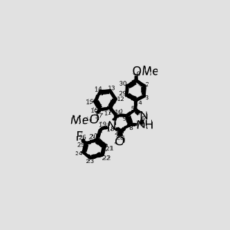 COc1ccc(-c2n[nH]c3c2C(c2ccccc2OC)N(Cc2ccccc2F)C3=O)cc1